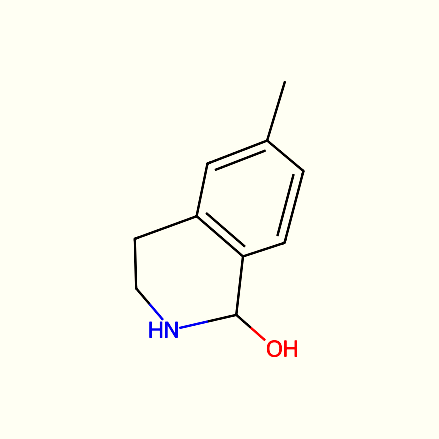 Cc1ccc2c(c1)CCNC2O